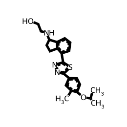 Cc1cc(-c2nnc(-c3cccc4c3CCC4NCCO)s2)ccc1OC(C)C